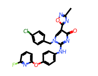 Cc1noc(-c2cn(Cc3ccc(Cl)cc3)c(Nc3ccc(Oc4cccc(F)n4)cc3)nc2=O)n1